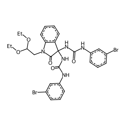 CCOC(CN1C(=O)C(NC(=O)Nc2cccc(Br)c2)(NC(=O)Nc2cccc(Br)c2)c2ccccc21)OCC